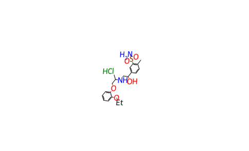 CCOc1ccccc1OCC(C)NCC(O)c1ccc(C)c(S(N)(=O)=O)c1.Cl